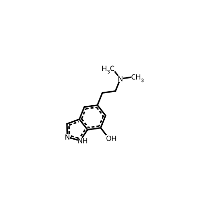 CN(C)CCc1cc(O)c2[nH]ncc2c1